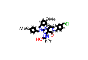 CCC[C@@H](CO)Nc1nc(N(Cc2ccc(OC)cc2)Cc2ccc(OC)cc2)nc2ccn(Cc3ccc(CCl)cc3OC)c(=O)c12